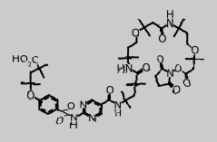 CC(C)(CCOC(C)(C)CC(=O)ON1C(=O)CCC1=O)NC(=O)CC(C)(C)OCCC(C)(C)NC(=O)C(C)(C)CC(C)(C)NC(=O)c1cnc(NS(=O)(=O)c2ccc(OC(C)(C)CC(C)(C)C(=O)O)cc2)nc1